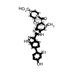 CCc1cc(O)ccc1-c1ccc2c(-c3nc4c([nH]3)CN(C)[C@H](C(=O)N3CCN(C(=O)O)C[C@@H]3C)C4)n[nH]c2c1